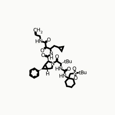 C=CCNC(=O)C(=O)C(CC1CC1)NC(=O)[C@@H]1C2[C@@H](c3ccccc3)[C@H]2CN1C(=O)[C@@H](NC(=O)NC1(CS(=O)(=O)C(C)(C)C)CCCCC1)C(C)(C)C